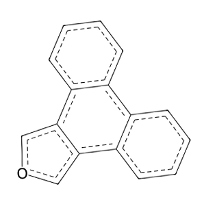 c1ccc2c(c1)c1ccccc1c1cocc21